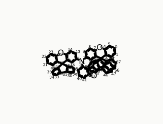 c1ccc2c(c1)Oc1ccc(N(c3ccc4c(c3)C3(c5ccccc5O4)c4ccccc4-c4ccccc43)c3cccc4oc5c6ccccc6ccc5c34)cc1C21c2ccccc2-c2ccccc21